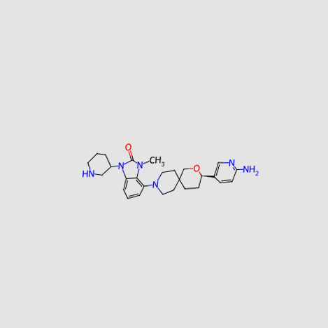 Cn1c(=O)n(C2CCCNC2)c2cccc(N3CCC4(CC[C@H](c5ccc(N)nc5)OC4)CC3)c21